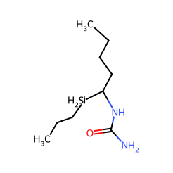 CCCCC(NC(N)=O)[SiH2]CCC